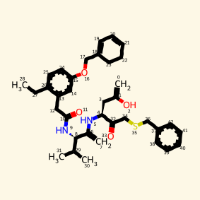 C=C(O)C[C@H](NC(=C)[C@@H](NC(=O)Cc1cc(OCC2=CC=CCC2)ccc1CC)C(C)C)C(=O)CSCc1ccccc1